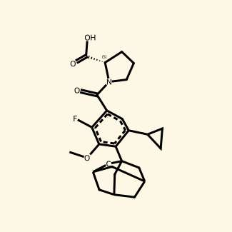 COc1c(F)c(C(=O)N2CCC[C@H]2C(=O)O)cc(C2CC2)c1C12CC3CC(CC(C3)C1)C2